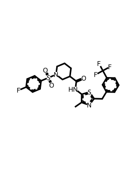 Cc1nc(Cc2cccc(C(F)(F)F)c2)sc1NC(=O)C1CCCN(S(=O)(=O)c2ccc(F)cc2)C1